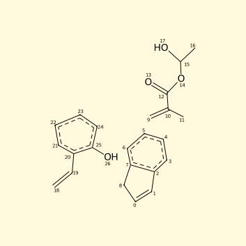 C1=Cc2ccccc2C1.C=C(C)C(=O)OC(C)O.C=Cc1ccccc1O